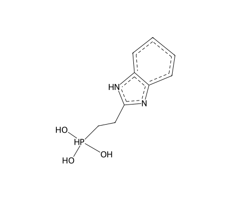 O[PH](O)(O)CCc1nc2ccccc2[nH]1